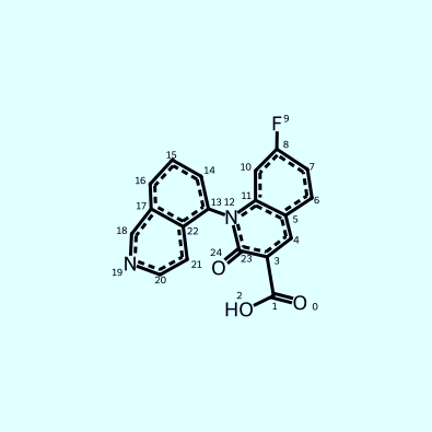 O=C(O)c1cc2ccc(F)cc2n(-c2cccc3cnccc23)c1=O